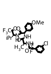 COc1ccc([C@H](NC(=O)[C@H](C)NC(=O)C(F)(F)c2cccc(Cl)c2)C(=O)N[C@H](C(=O)C(F)(F)F)C(C)C)cc1